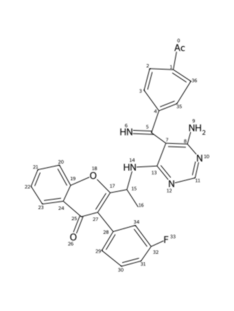 CC(=O)c1ccc(C(=N)c2c(N)ncnc2NC(C)c2oc3ccccc3c(=O)c2-c2cccc(F)c2)cc1